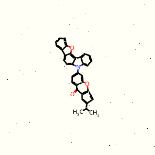 CC(C)c1ccc2oc3cc(-n4c5ccccc5c5c6oc7ccccc7c6ccc54)ccc3c(=O)c2c1